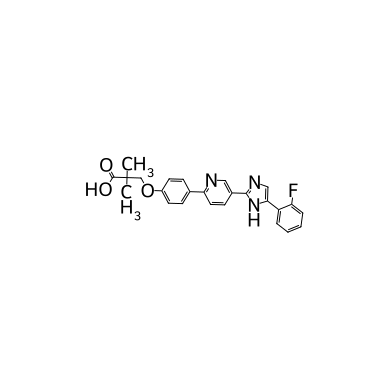 CC(C)(COc1ccc(-c2ccc(-c3ncc(-c4ccccc4F)[nH]3)cn2)cc1)C(=O)O